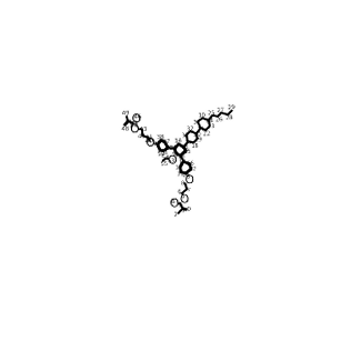 C=C(C)C(=O)OCCCOc1ccc(-c2cc(C3CCC(C4CCC(CCCCC)CC4)CC3)cc(-c3ccc(OCCCOC(=O)C(=C)C)cc3)c2OCC)cc1